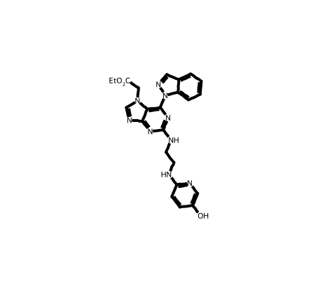 CCOC(=O)Cn1cnc2nc(NCCNc3ccc(O)cn3)nc(-n3ncc4ccccc43)c21